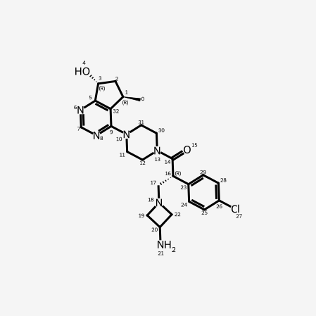 C[C@@H]1C[C@@H](O)c2ncnc(N3CCN(C(=O)[C@@H](CN4CC(N)C4)c4ccc(Cl)cc4)CC3)c21